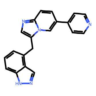 c1cc(Cc2cnc3ccc(-c4ccncc4)cn23)c2cn[nH]c2c1